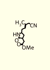 COC(=O)CC1CC(C/C=C(\C)CC#N)NC1=O